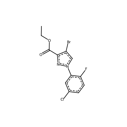 CCOC(=O)c1nn(-c2cc(Cl)ccc2F)cc1Br